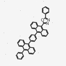 c1ccc(-c2nnc(-c3c4ccccc4c(-c4ccc(-c5c6ccccc6c(-c6ccccc6)c6ccccc56)cc4)c4ccccc34)o2)cc1